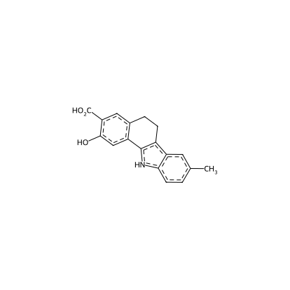 Cc1ccc2[nH]c3c(c2c1)CCc1cc(C(=O)O)c(O)cc1-3